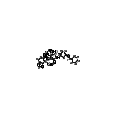 CC(C)CN(C[C@@H](O)[C@H](Cc1ccc(OCc2ccccc2)cc1)NC(=O)OC(C)(C)C)S(=O)(=O)c1ccc2c(c1)OCO2